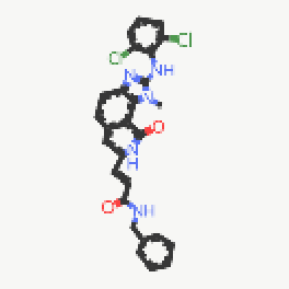 Cn1c(Nc2c(Cl)cccc2Cl)nc2ccc3cc(/C=C/C(=O)NCc4ccccc4)[nH]c(=O)c3c21